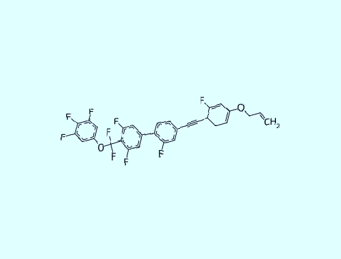 C=CCOC1=CCC(C#Cc2ccc(-c3cc(F)c(C(F)(F)Oc4cc(F)c(F)c(F)c4)c(F)c3)c(F)c2)C(F)=C1